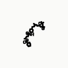 CC(C=C[C@@H]1C[C@]2(CO2)CC(C)(C)O1)=CCC1CCC(NC(=O)C=CC(C)OC(=O)c2ccccc2)CC1